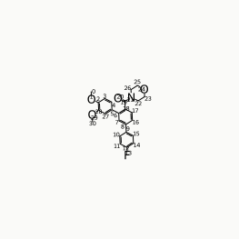 COc1ccc(-c2cc(-c3ccc(F)cc3)ccc2C(=O)N2CCOCC2)cc1OC